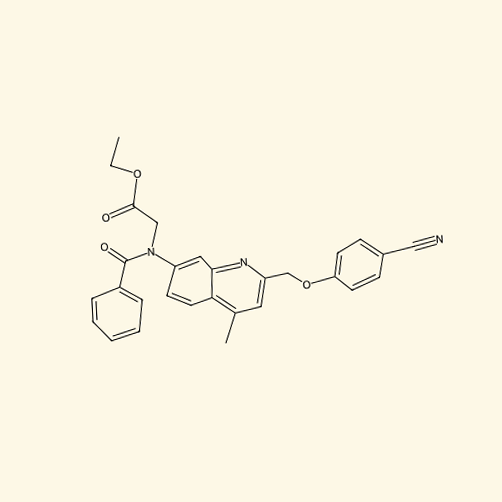 CCOC(=O)CN(C(=O)c1ccccc1)c1ccc2c(C)cc(COc3ccc(C#N)cc3)nc2c1